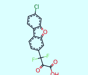 O=C(O)C(=O)C(F)(F)c1ccc2c(c1)oc1cc(Cl)ccc12